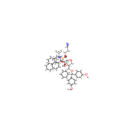 COc1ccc(C(OC[C@@]23CO[C@H]([C@H](c4ccc5ccc6cccc7ccc4c5c67)O2)[C@@H]3OP(OCCC#N)N(C(C)C)C(C)C)(c2ccccc2)c2ccc(OC)cc2)cc1